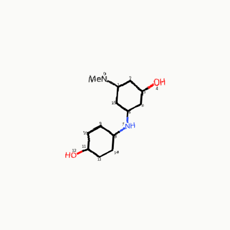 CNC1CC(O)CC(NC2CCC(O)CC2)C1